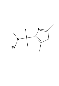 CC1=NC(C(C)(C)N(C)C(C)C)=C(C)C1